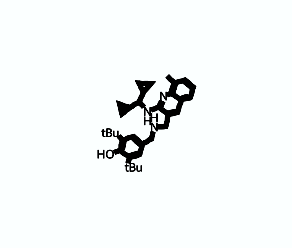 Cc1cccc2cc(CNCc3cc(C(C)(C)C)c(O)c(C(C)(C)C)c3)c(NC(C3CC3)C3CC3)nc12